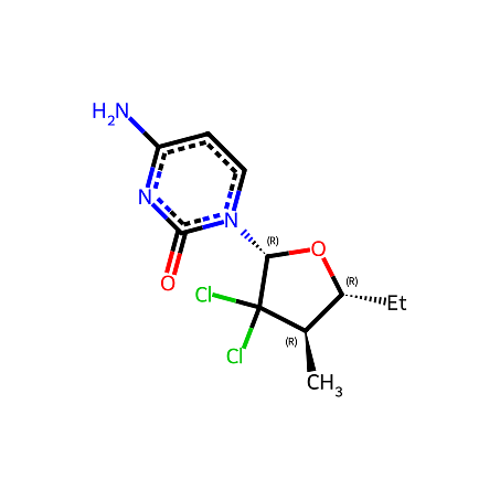 CC[C@H]1O[C@@H](n2ccc(N)nc2=O)C(Cl)(Cl)[C@@H]1C